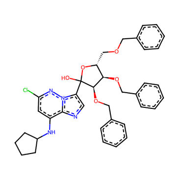 OC1(c2cnc3c(NC4CCCC4)cc(Cl)nn23)O[C@H](COCc2ccccc2)[C@@H](OCc2ccccc2)[C@H]1OCc1ccccc1